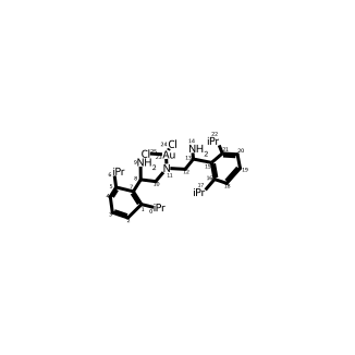 CC(C)c1cccc(C(C)C)c1C(N)C[N](CC(N)c1c(C(C)C)cccc1C(C)C)[Au]([Cl])[Cl]